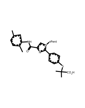 CCCCCn1cc(C(=O)Nc2cc(C)ccc2C)nc1-c1ccc(SC(C)(C)C(=O)O)cc1